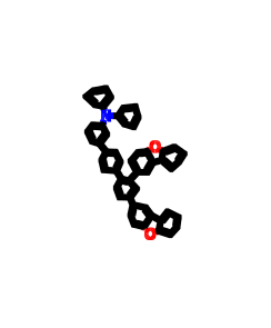 c1ccc(N(c2ccccc2)c2cccc(-c3ccc(-c4ccc(-c5ccc6oc7ccccc7c6c5)cc4-c4ccc5oc6ccccc6c5c4)cc3)c2)cc1